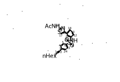 CCCCCCC#Cc1ccc(S(=O)(=O)Nc2cccc(-c3csc(NC(C)=O)n3)c2)cc1